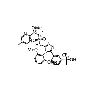 COc1cccc(OC)c1-n1c(NS(=O)(=O)[C@@H](C)[C@H](OC)c2ncc(C)cn2)nnc1-c1cccc(C(C)(O)C(F)(F)F)c1